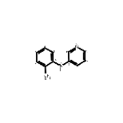 FC(F)(F)c1ccccc1Nc1cccnc1